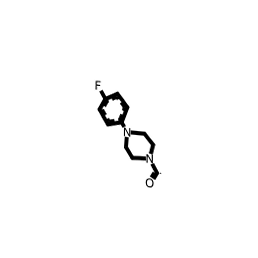 O=[C]N1CCN(c2ccc(F)cc2)CC1